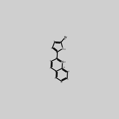 Brc1ccc(-c2ccc3ccccc3n2)s1